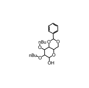 CCCCOC1C(O)OC2COC(c3ccccc3)OC2C1OCCCC